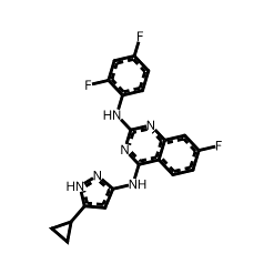 Fc1ccc(Nc2nc(Nc3cc(C4CC4)[nH]n3)c3ccc(F)cc3n2)c(F)c1